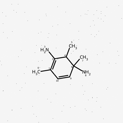 CC1=C(N)C(C)C(C)(N)C=C1